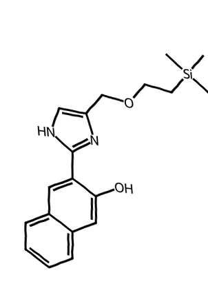 C[Si](C)(C)CCOCc1c[nH]c(-c2cc3ccccc3cc2O)n1